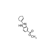 COC(=O)c1ccc2[nH]c(C3=CCCCC3)nc2c1